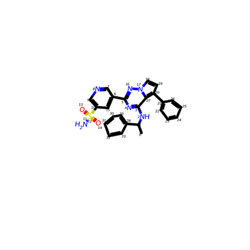 CC(Nc1nc(-c2cncc(S(N)(=O)=O)c2)nn2ccc(-c3ccccc3)c12)c1ccccc1